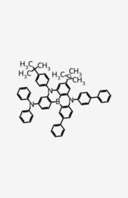 CC(C)(C)c1ccc(N2c3cc(N(c4ccccc4)c4ccccc4)ccc3B3c4cc(-c5ccccc5)ccc4N(c4ccc(-c5ccccc5)cc4)c4cc([Si](C)(C)C)cc2c43)cc1